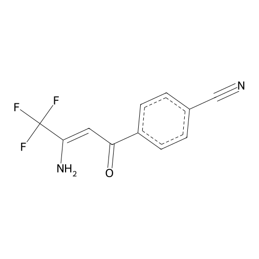 N#Cc1ccc(C(=O)C=C(N)C(F)(F)F)cc1